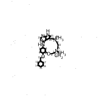 C=C1COc2cc(ccc2OCc2ccccc2)Nc2ncnc3[nH]cc(c23)CN(C)CCCN1C